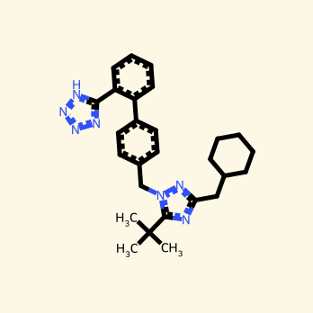 CC(C)(C)c1nc(CC2CCCCC2)nn1Cc1ccc(-c2ccccc2-c2nnn[nH]2)cc1